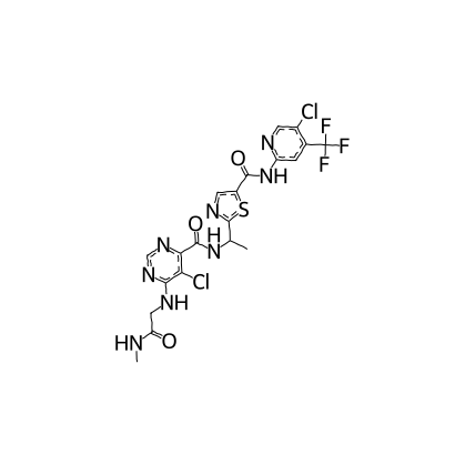 CNC(=O)CNc1ncnc(C(=O)NC(C)c2ncc(C(=O)Nc3cc(C(F)(F)F)c(Cl)cn3)s2)c1Cl